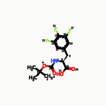 CC(C)(C)OC(=O)N[C@H](Cc1cc(F)c(F)c(F)c1)C(=O)O